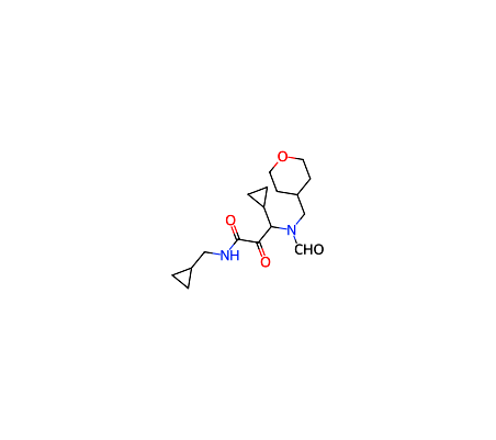 O=CN(CC1CCOCC1)C(C(=O)C(=O)NCC1CC1)C1CC1